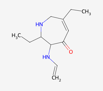 C=CNC1C(=O)C=C(CC)CNC1CC